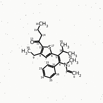 C=CN(C)/C(=C(/c1cc(CC)c(C(=O)CCC)s1)C(C)C)c1ccccc1